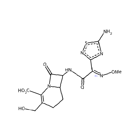 CO/N=C(/C(=O)NC1C(=O)N2C(C(=O)O)=C(CO)CCC12)c1nsc(N)n1